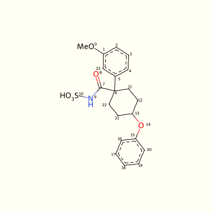 COc1cccc(C2(C(=O)NS(=O)(=O)O)CCC(Oc3ccccc3)CC2)c1